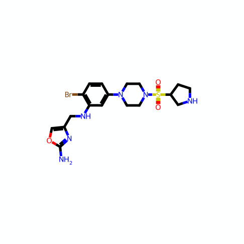 Nc1nc(CNc2cc(N3CCN(S(=O)(=O)C4CCNC4)CC3)ccc2Br)co1